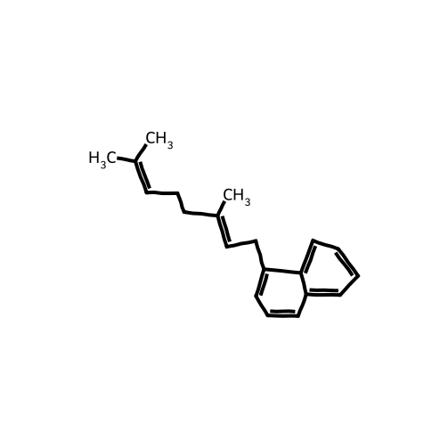 CC(C)=CCC/C(C)=C/Cc1cccc2ccccc12